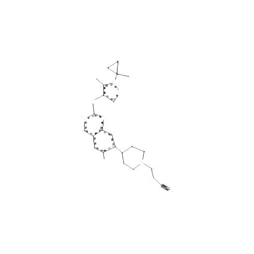 CC1(n2ncc(Nc3ncc4cc(Cl)c(C5CCN(CCC#N)CC5)cc4n3)c2Cl)CC1